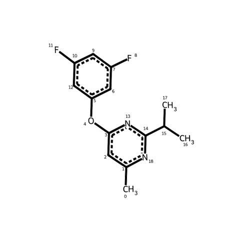 Cc1cc(Oc2cc(F)cc(F)c2)nc(C(C)C)n1